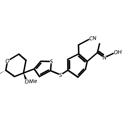 CO[C@]1(c2csc(Sc3ccc(/C(C)=N/O)c(CC#N)c3)c2)CCO[C@@H](C)C1